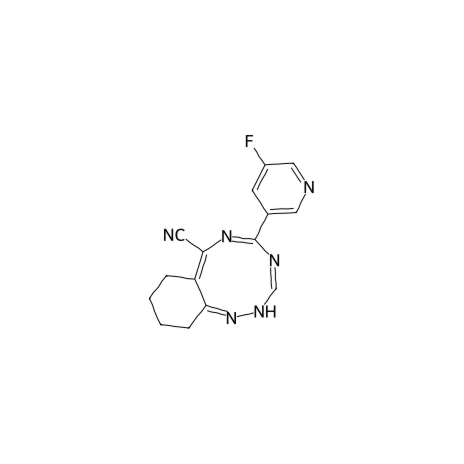 N#Cc1nc(-c2cncc(F)c2)nc[nH]nc2c1CCCC2